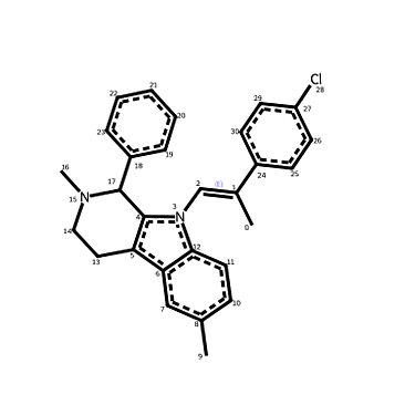 C/C(=C\n1c2c(c3cc(C)ccc31)CCN(C)C2c1ccccc1)c1ccc(Cl)cc1